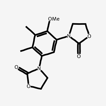 COc1c(N2CCOC2=O)cc(N2CCOC2=O)c(C)c1C